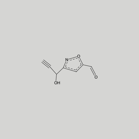 C#CC(O)c1cc(C=O)on1